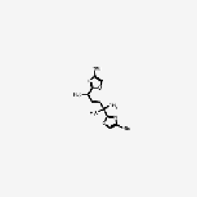 CC(CCC(C)(C)c1nc(C(C)(C)C)co1)c1nc(C(C)(C)C)co1